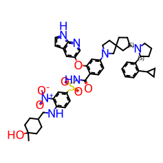 CC1(O)CCC(CNc2ccc(S(=O)(=O)NC(=O)c3ccc(N4CCC5(CC[C@H](N6CCC[C@H]6c6ccccc6C6CC6)C5)C4)cc3Oc3cnc4[nH]ccc4c3)cc2[N+](=O)[O-])CC1